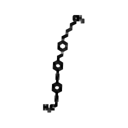 CCC#Cc1ccc(C#Cc2ccc(CC[C@H]3CC[C@H](CCCCCCC)CC3)cc2)cc1